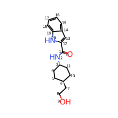 O=C(N[C@H]1CC[C@H](CCO)CC1)c1cc2ccccc2[nH]1